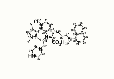 Cc1nn(C)c(C)c1-c1c(Cl)ccc2c(CCCN(C)c3cccc4ccccc34)c(C(=O)O)n(CCN3CCNCC3)c12